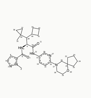 Cn1nccc1C(=O)N[C@H](C(=O)Nc1ccc(N2CCOC3(CCCC3)C2)nc1)C(C1CCC1)C1(C)CC1